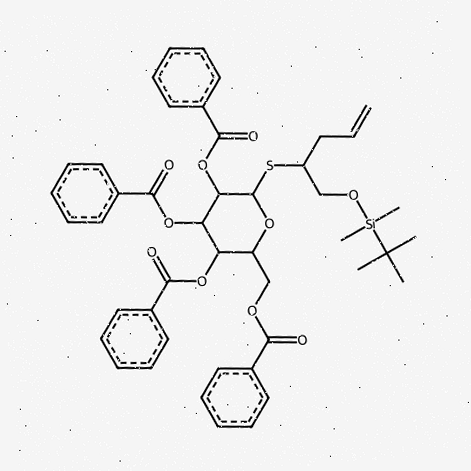 C=CCC(CO[Si](C)(C)C(C)(C)C)SC1OC(COC(=O)c2ccccc2)C(OC(=O)c2ccccc2)C(OC(=O)c2ccccc2)C1OC(=O)c1ccccc1